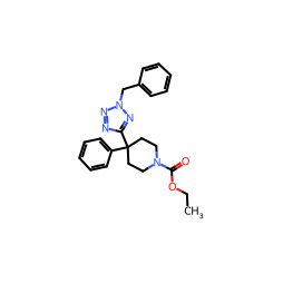 CCOC(=O)N1CCC(c2ccccc2)(c2nnn(Cc3ccccc3)n2)CC1